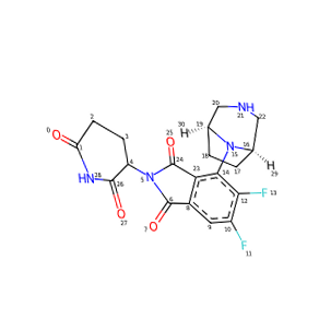 O=C1CCC(N2C(=O)c3cc(F)c(F)c(N4[C@@H]5CC[C@H]4CNC5)c3C2=O)C(=O)N1